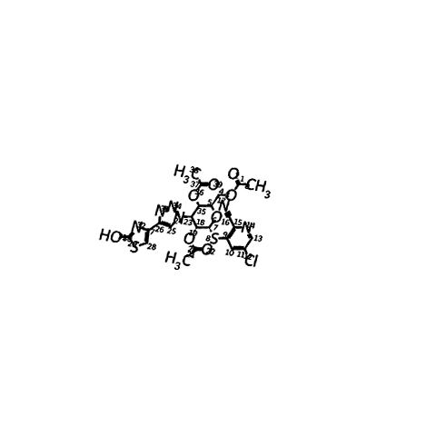 CC(=O)OC[C@H]1O[C@H](Sc2cc(Cl)cnc2C#N)[C@H](OC(C)=O)[C@@H](n2cc(-c3csc(O)n3)nn2)[C@H]1OC(C)=O